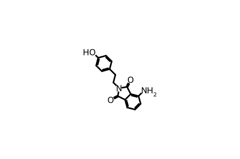 Nc1cccc2c1C(=O)N(CCc1ccc(O)cc1)C2=O